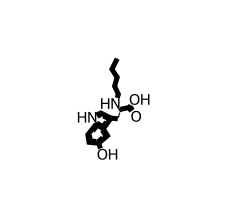 CCCCCN[C@@H](Cc1c[nH]c2ccc(O)cc12)C(=O)O